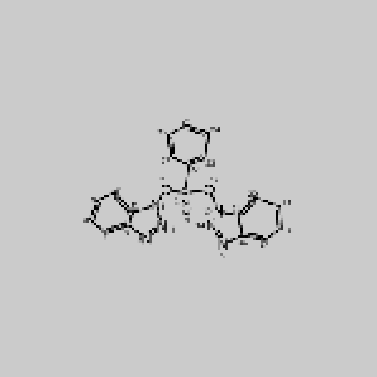 O=P(On1nnc2ccccc21)(On1nnc2ccccc21)c1ccccc1